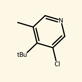 Cc1cncc(Cl)c1C(C)(C)C